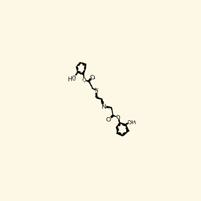 O=C(CN=CC=NCC(=O)Oc1ccccc1O)Oc1ccccc1O